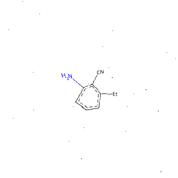 CCc1cccc(N)c1C#N